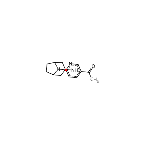 CC(=O)c1ccc(N2C3CCC2CC(N)C3)nc1